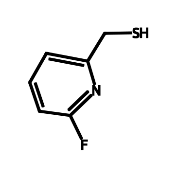 Fc1cccc(CS)n1